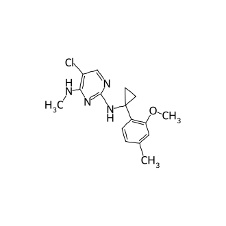 CNc1nc(NC2(c3ccc(C)cc3OC)CC2)ncc1Cl